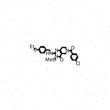 CCOc1ccc(CNc2nc3c(c(=O)n2OC)CN(C(=O)c2ccc(Cl)cc2)CC3)cc1